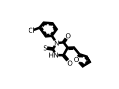 O=C1NC(=S)N(c2cccc(Cl)c2)C(=O)C1=Cc1ccco1